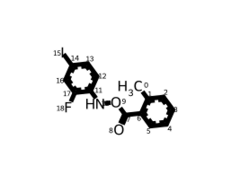 Cc1ccccc1C(=O)ONc1ccc(I)cc1F